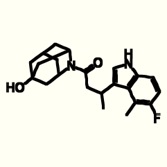 Cc1c(F)ccc2[nH]cc(C(C)CC(=O)N3C4CC5CC3CC(O)(C5)C4)c12